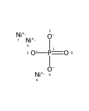 O=P([O-])([O-])[O-].[Ni+].[Ni+].[Ni+]